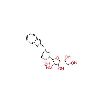 OCC(O)C1OC(c2cc(Cc3cc4cccccc-4c3)ccc2O)C(O)C1O